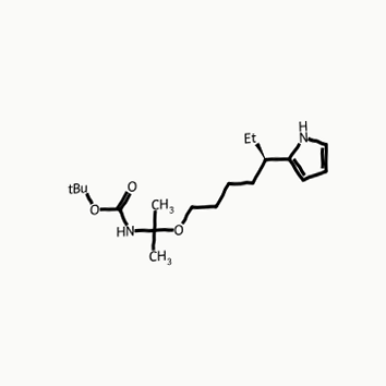 CC[C@H](CCCCOC(C)(C)NC(=O)OC(C)(C)C)c1ccc[nH]1